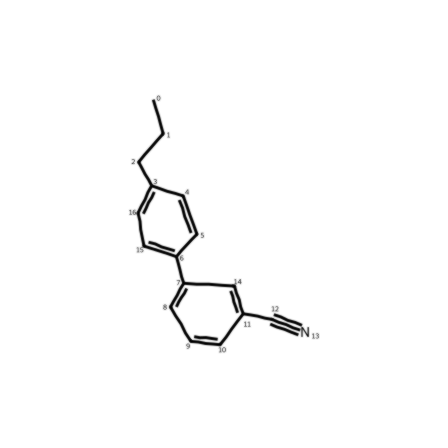 CCCc1ccc(-c2cccc(C#N)c2)cc1